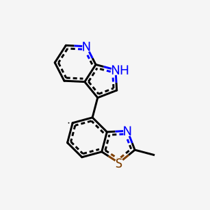 Cc1nc2c(-c3c[nH]c4ncccc34)[c]ccc2s1